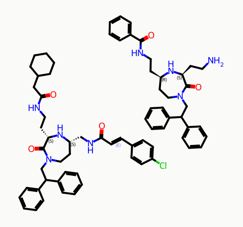 NCC[C@@H]1N[C@H](CCNC(=O)c2ccccc2)CCN(CC(c2ccccc2)c2ccccc2)C1=O.O=C(/C=C/c1ccc(Cl)cc1)NC[C@@H]1CCN(CC(c2ccccc2)c2ccccc2)C(=O)[C@H](CCNC(=O)CC2CCCCC2)N1